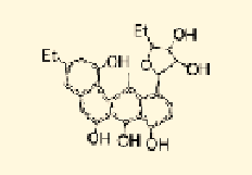 CCc1cc(O)c2c(c1)cc(O)c1c(O)c3c(O)ccc(C4OC(CC)C(O)C4O)c3c(C)c12